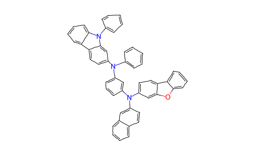 c1ccc(N(c2cccc(N(c3ccc4ccccc4c3)c3ccc4c(c3)oc3ccccc34)c2)c2ccc3c4ccccc4n(-c4ccccc4)c3c2)cc1